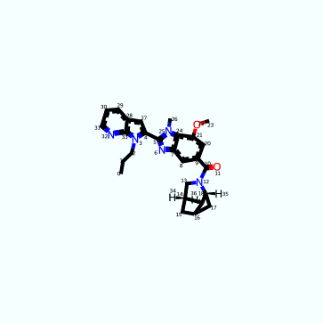 CCCn1c(-c2nc3cc(C(=O)N4C[C@H]5CC6C[C@@H]4[C@H]65)cc(OC)c3n2C)cc2cccnc21